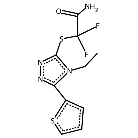 CCn1c(SC(F)(F)C(N)=O)nnc1-c1cccs1